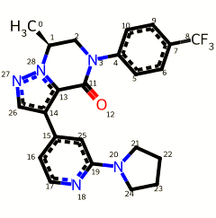 C[C@H]1CN(c2ccc(C(F)(F)F)cc2)C(=O)c2c(-c3ccnc(N4CCCC4)c3)cnn21